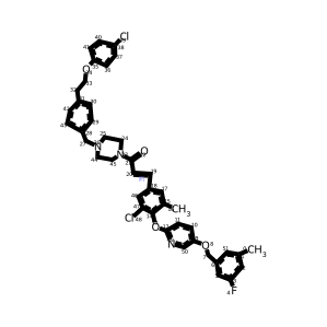 Cc1cc(F)cc(COc2ccc(Oc3c(C)cc(/C=C/C(=O)N4CCN(Cc5ccc(CCOc6ccc(Cl)cc6)cc5)CC4)cc3Cl)nc2)c1